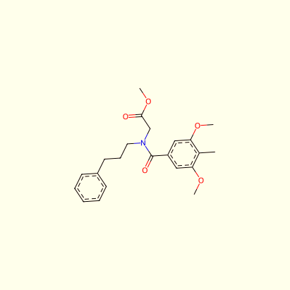 COC(=O)CN(CCCc1ccccc1)C(=O)c1cc(OC)c(C)c(OC)c1